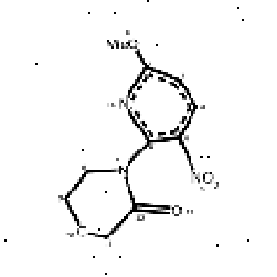 COc1ccc([N+](=O)[O-])c(N2CCOCC2=O)n1